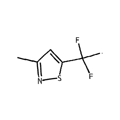 [CH2]C(F)(F)c1cc(C)ns1